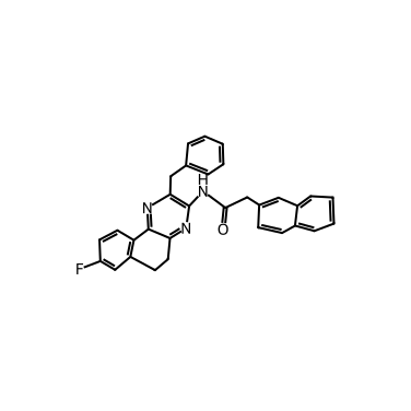 O=C(Cc1ccc2ccccc2c1)Nc1nc2c(nc1Cc1ccccc1)-c1ccc(F)cc1CC2